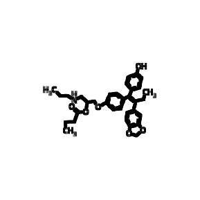 CCCNCC(COc1ccc(/C(=C(/CC)c2ccc3c(c2)OCO3)c2ccc(O)cc2)cc1)OC(=O)CCC